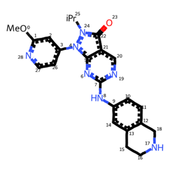 COc1cc(-n2c3nc(Nc4ccc5c(c4)CCNC5)ncc3c(=O)n2C(C)C)ccn1